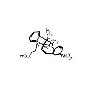 CC1(C)c2ccccc2N(CCC(=O)O)[C@@]12C=Cc1cc([N+](=O)[O-])ccc1O2